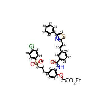 CCOC(=O)COc1ccc(CCCS(=O)(=O)c2ccc(Cl)cc2)cc1NC(=O)c1cccc(C=Cc2nc(-c3ccccc3)cs2)c1